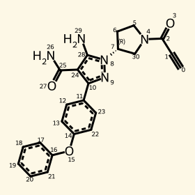 C#CC(=O)N1CC[C@@H](n2nc(-c3ccc(Oc4ccccc4)cc3)c(C(N)=O)c2N)C1